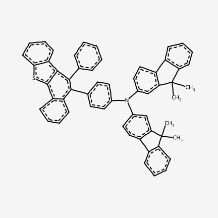 CC1(C)c2ccccc2-c2ccc(N(c3ccc(-c4c(-c5ccccc5)c5c6ccccc6sc5c5ccccc45)cc3)c3ccc4c(c3)C(C)(C)c3ccccc3-4)cc21